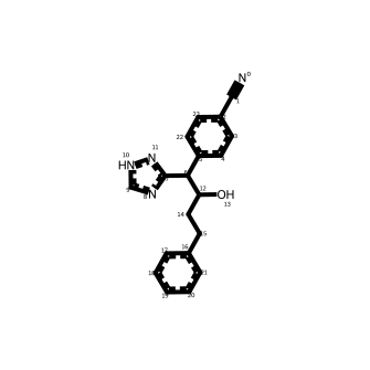 N#Cc1ccc(C(c2nc[nH]n2)C(O)CCc2ccccc2)cc1